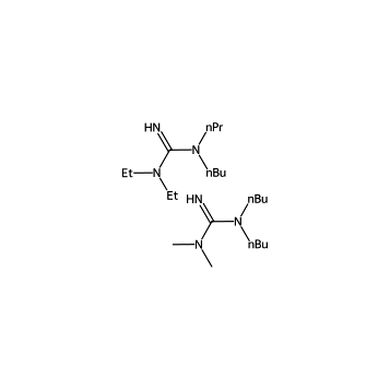 CCCCN(CCC)C(=N)N(CC)CC.CCCCN(CCCC)C(=N)N(C)C